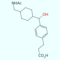 CC(=O)NCC1CCC(C(O)c2ccc(CCC(=O)O)cc2)CC1